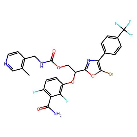 Cc1cnccc1CNC(=O)OCC(Oc1ccc(F)c(C(N)=O)c1F)c1nc(-c2ccc(C(F)(F)F)cc2)c(Br)o1